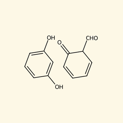 O=CC1C=CC=CC1=O.Oc1cccc(O)c1